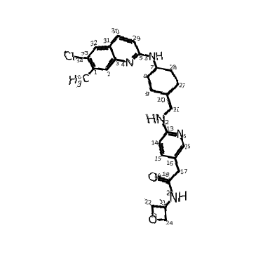 Cc1cc2nc(NC3CCC(CNc4ccc(CC(=O)NC5COC5)cn4)CC3)ccc2cc1Cl